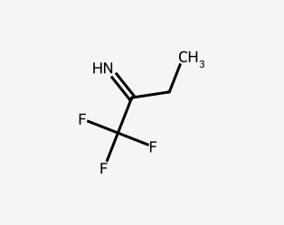 CCC(=N)C(F)(F)F